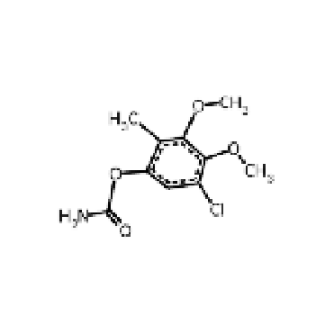 COc1c(Cl)cc(OC(N)=O)c(C)c1OC